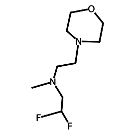 CN(CCN1CCOCC1)CC(F)F